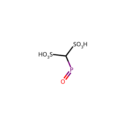 O=PC(S(=O)(=O)O)S(=O)(=O)O